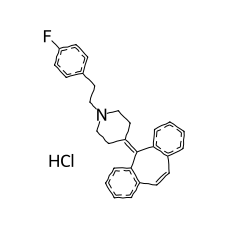 Cl.Fc1ccc(CCN2CCC(=C3c4ccccc4C=Cc4ccccc43)CC2)cc1